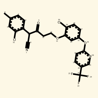 Cc1ccc(C(C#N)C(=O)CCOc2cc(Oc3ccc(C(F)(F)F)cn3)ccc2Cl)c(Cl)c1